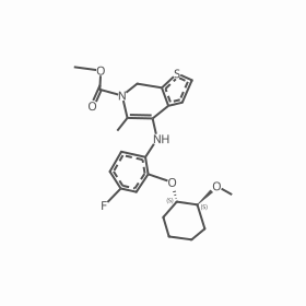 COC(=O)N1Cc2sccc2C(Nc2ccc(F)cc2O[C@H]2CCCC[C@@H]2OC)=C1C